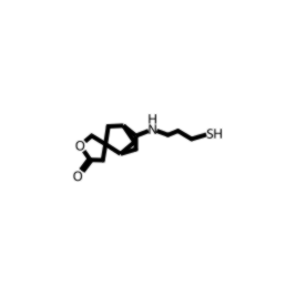 O=C1CC2(CO1)CC1CC2CC1NCCCS